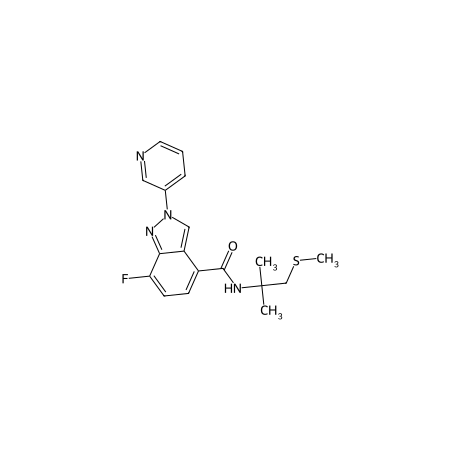 CSCC(C)(C)NC(=O)c1ccc(F)c2nn(-c3cccnc3)cc12